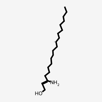 CCCCCCCC[CH]CCCCCCCCC(N)=CCO